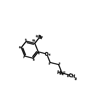 CNCCOc1ccccc1Br